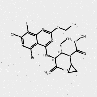 C=C(C)[C@@H](Nc1nc(SCC)nc2c(F)c(Cl)nc(Br)c12)[C@H](CC)N(C(=O)OO)C1CC1